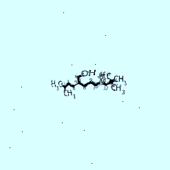 CC(C)CC[C@@H](CO)CCCNCC(C)(C)C